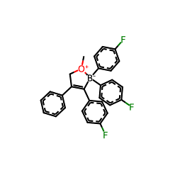 C[O+]1CC(c2ccccc2)=C(c2ccc(F)cc2)[B-]1(c1ccc(F)cc1)c1ccc(F)cc1